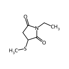 CCN1C(=O)CC(SC)C1=O